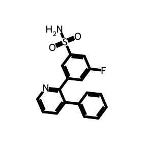 NS(=O)(=O)c1cc(F)cc(-c2ncccc2-c2ccccc2)c1